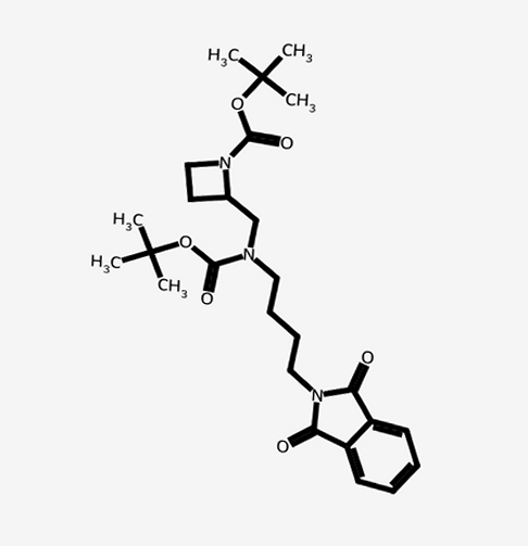 CC(C)(C)OC(=O)N(CCCCN1C(=O)c2ccccc2C1=O)CC1CCN1C(=O)OC(C)(C)C